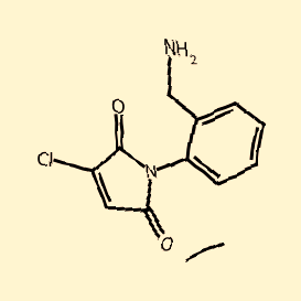 CC.NCc1ccccc1N1C(=O)C=C(Cl)C1=O